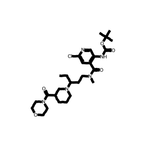 CCC(CCN(C)C(=O)c1cc(Cl)ncc1NC(=O)OC(C)(C)C)N1CCCC(C(=O)N2CCOCC2)C1